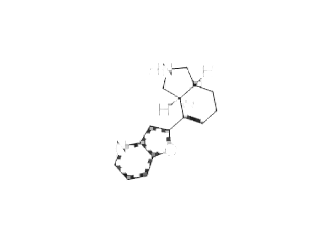 C1=C(c2cc3ncccc3o2)[C@@H]2CNC[C@@H]2CC1